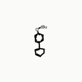 CC(C)(C)Oc1ccc(C2=CC=CC[CH]2)cc1